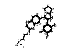 COCCOc1cnc2ccc(-c3c(-c4cc(F)c(F)cc4F)nc4n3CCC4)cc2n1